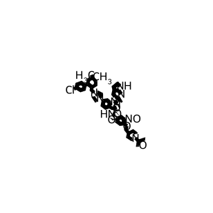 CC1(C)CCC(CN2CCN(c3ccc(C(=O)NS(=O)(=O)c4ccc(OCC5CCN(C6COC6)CC5)c(N=O)c4)c(-n4ncc5nc6[nH]ccc6cc54)c3)CC2)=C(c2ccc(Cl)cc2)C1